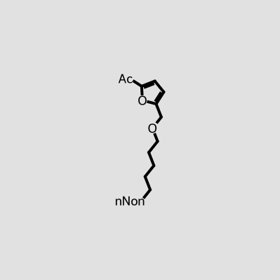 CCCCCCCCCCCCCCOCc1ccc(C(C)=O)o1